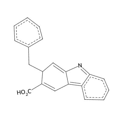 O=C(O)C1=CC2=c3ccccc3=NC2=CC1Cc1ccccc1